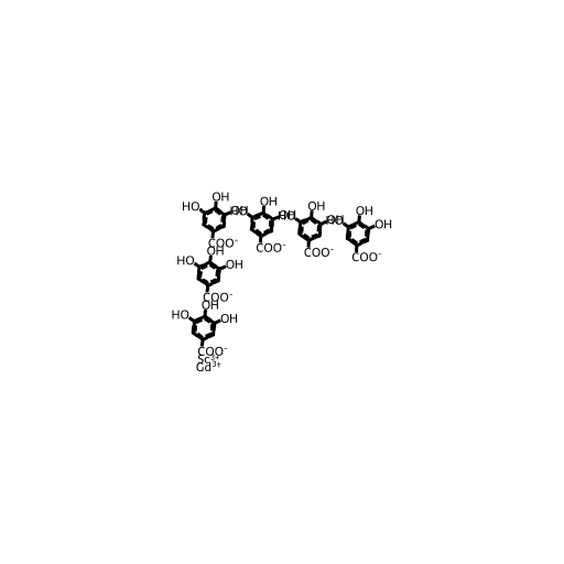 O=C([O-])c1cc(O)c(O)c(O)c1.O=C([O-])c1cc(O)c(O)c(O)c1.O=C([O-])c1cc(O)c(O)c(O)c1.O=C([O-])c1cc(O)c(O)c(O)c1.O=C([O-])c1cc(O)c(O)c(O)c1.O=C([O-])c1cc(O)c(O)c(O)c1.[Gd+3].[Sc+3]